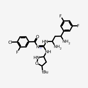 CC(C)(C)C1CC(N/C(=N/C(=O)c2ccc(Cl)c(F)c2)NC(N)CC(N)c2cc(F)cc(F)c2)NO1